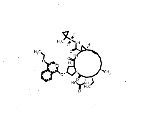 CCOc1cnc(O[C@@H]2C[C@H]3C(=O)N[C@]4(C(=O)NS(=O)(=O)C5(C)CC5)C[C@H]4/C=C\CC[C@@H](C)C[C@@H](CC)[C@H](NC(=O)O)C(=O)N3C2)c2ccccc12